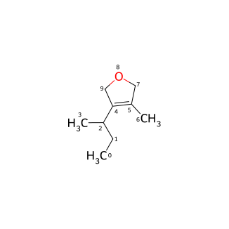 CCC(C)C1=C(C)COC1